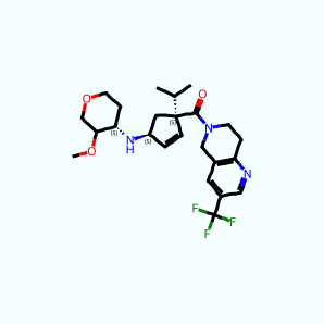 COC1COCC[C@@H]1N[C@@H]1C=C[C@@](C(=O)N2CCc3ncc(C(F)(F)F)cc3C2)(C(C)C)C1